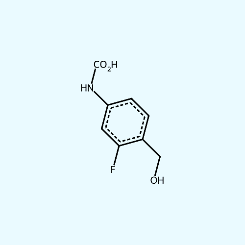 O=C(O)Nc1ccc(CO)c(F)c1